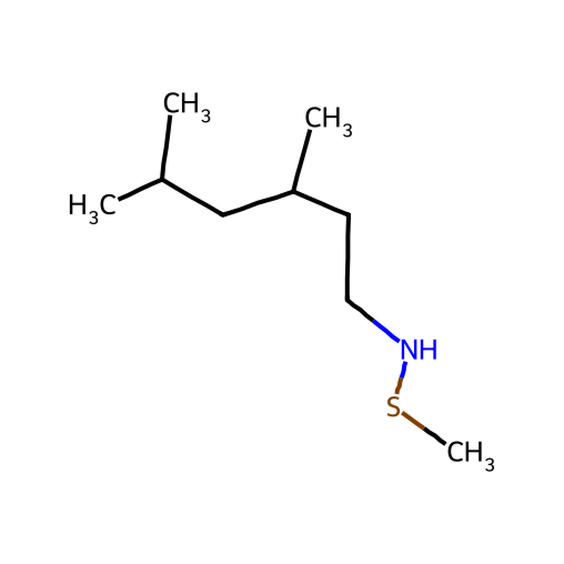 CSNCCC(C)CC(C)C